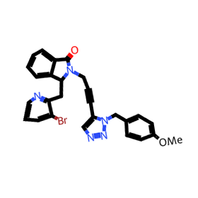 COc1ccc(Cn2nncc2C#CCN2C(=O)c3ccccc3C2Cc2ncccc2Br)cc1